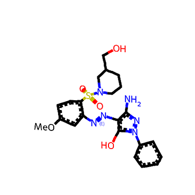 COc1ccc(S(=O)(=O)N2CCCC(CO)C2)c(/N=N/c2c(N)nn(-c3ccccc3)c2O)c1